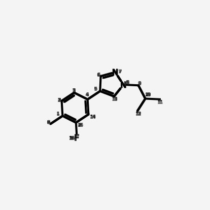 Cc1ccc(-c2cnn(CC(C)C)c2)cc1F